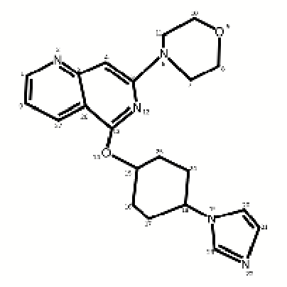 c1cnc2cc(N3CCOCC3)nc(OC3CCC(n4ccnc4)CC3)c2c1